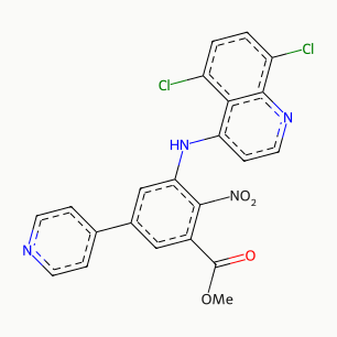 COC(=O)c1cc(-c2ccncc2)cc(Nc2ccnc3c(Cl)ccc(Cl)c23)c1[N+](=O)[O-]